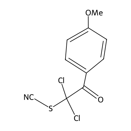 COc1ccc(C(=O)C(Cl)(Cl)SC#N)cc1